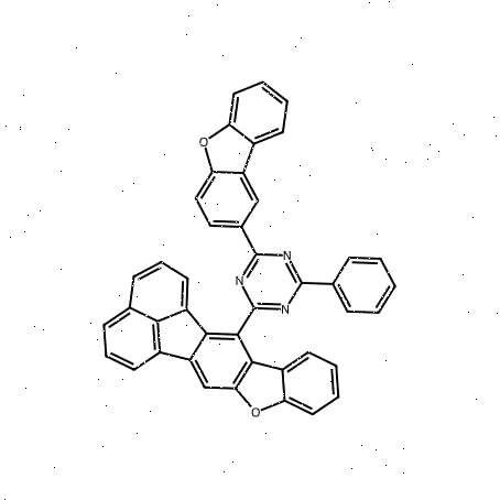 c1ccc(-c2nc(-c3ccc4oc5ccccc5c4c3)nc(-c3c4c(cc5oc6ccccc6c35)-c3cccc5cccc-4c35)n2)cc1